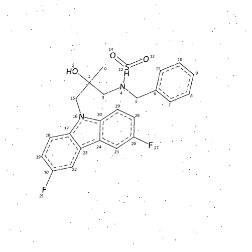 CC(O)(CN(Cc1ccccc1)[SH](=O)=O)Cn1c2ccc(F)cc2c2cc(F)ccc21